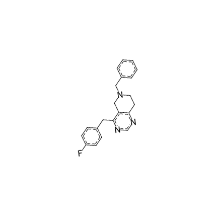 Fc1ccc(Cc2ncnc3c2CN(Cc2ccccc2)CC3)cc1